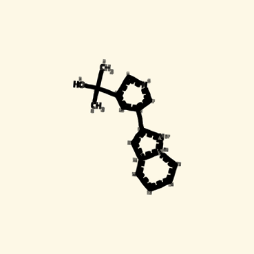 CC(C)(O)c1cncc(-c2cc3ccccn3n2)c1